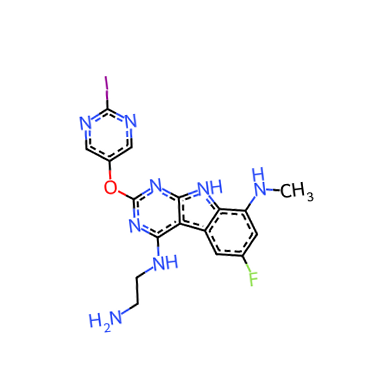 CNc1cc(F)cc2c1[nH]c1nc(Oc3cnc(I)nc3)nc(NCCN)c12